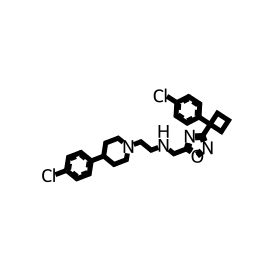 Clc1ccc(C2CCN(CCNCc3nc(C4(c5ccc(Cl)cc5)CCC4)no3)CC2)cc1